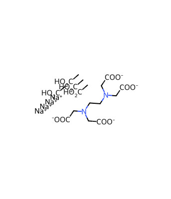 CC(=O)O.CC(=O)O.CC(=O)O.CC(=O)O.O=C([O-])CN(CCN(CC(=O)[O-])CC(=O)[O-])CC(=O)[O-].[Na+].[Na+].[Na+].[Na+]